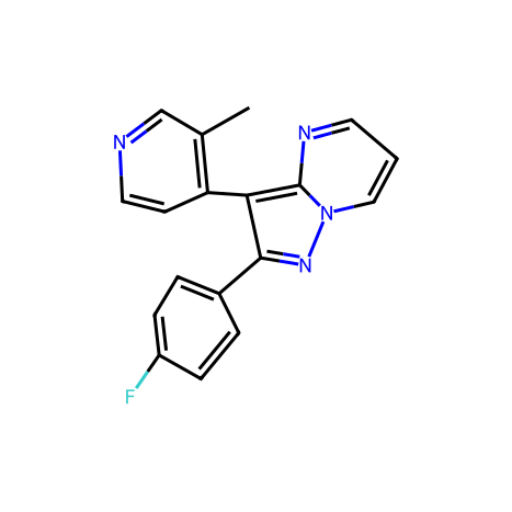 Cc1cnccc1-c1c(-c2ccc(F)cc2)nn2cccnc12